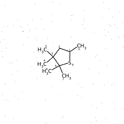 CC1CC(C)(C)C(C)(C)S1